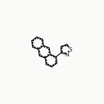 c1ccc2cc3c(-c4ccsn4)cccc3cc2c1